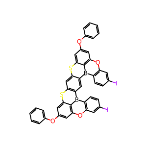 Ic1ccc2c(c1)Oc1cc(Oc3ccccc3)cc3c1B2c1cc2c(cc1S3)Sc1cc(Oc3ccccc3)cc3c1B2c1ccc(I)cc1O3